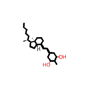 CCCCC[C@H](C)C1CC[C@H]2/C(=C/C=C3C[C@@H](O)C(C)[C@H](O)C3)CCC[C@]12C